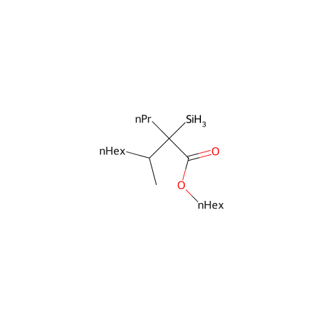 CCCCCCOC(=O)C([SiH3])(CCC)C(C)CCCCCC